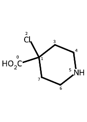 O=C(O)C1(Cl)CCNCC1